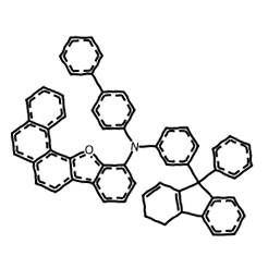 C1=CC2=C(CC1)c1ccccc1C2(c1ccccc1)c1cccc(N(c2ccc(-c3ccccc3)cc2)c2cccc3c2oc2c3ccc3ccc4ccccc4c32)c1